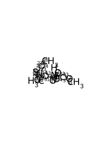 COc1ccc(S(=O)(=O)NC(=O)c2ccc(N3C(=O)CSC3c3ccc(C)cc3)c(C)c2)cc1